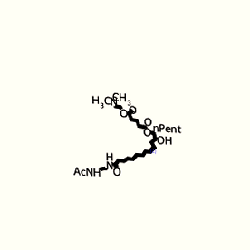 CCCCCC(OC(=O)CCCC(=O)OCCN(C)C)C(O)C/C=C\CCCCCCCC(=O)NCCNC(C)=O